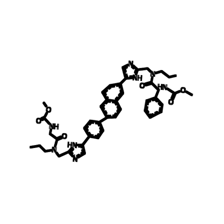 CCCN(Cc1ncc(-c2ccc(-c3ccc4cc(-c5cnc(CN(CCC)C(=O)[C@H](NC(=O)OC)c6ccccc6)[nH]5)ccc4c3)cc2)[nH]1)C(=O)CNC(=O)OC